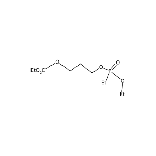 CCOC(=O)OCCCOP(=O)(CC)OCC